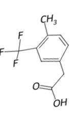 Cc1ccc(CC(=O)O)cc1C(F)(F)F